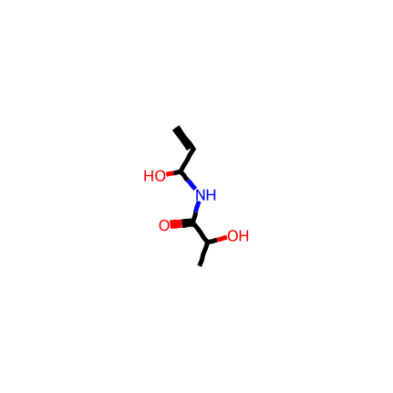 C=CC(O)NC(=O)C(C)O